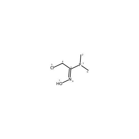 CP(C)C(CCl)=NO